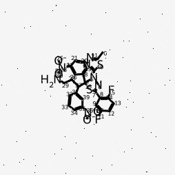 Cc1nnc(N2N=C(c3cc(F)ccc3F)SC2(c2cccc([N+](=O)[O-])c2)C(CCN)c2cccc([N+](=O)[O-])c2)s1